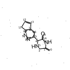 C=C1CNC(c2cc3c(nn2)CC=C3)C(=O)N1